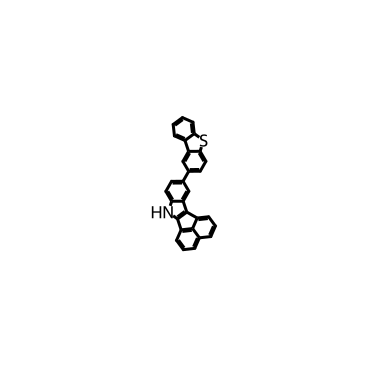 c1cc2c3c(cccc3c1)-c1c-2[nH]c2ccc(-c3ccc4sc5ccccc5c4c3)cc12